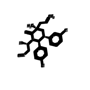 C=CC[C@@]1(C)C[C@H](c2cccc(Cl)c2)[C@@H](c2ccc(Cl)cc2)N([C@@H](CC)CC=O)C1=O